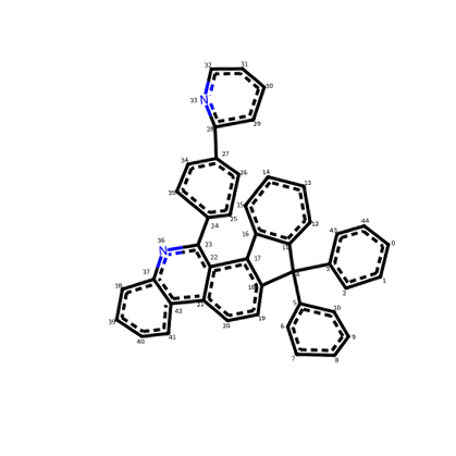 c1ccc(C2(c3ccccc3)c3ccccc3-c3c2ccc2c3c(-c3ccc(-c4ccccn4)cc3)nc3ccccc32)cc1